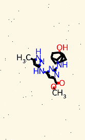 COC(=O)c1cc(Nc2cc(C)[nH]n2)nc(NC2C3CC4CC2C(O)(C4)C3)n1